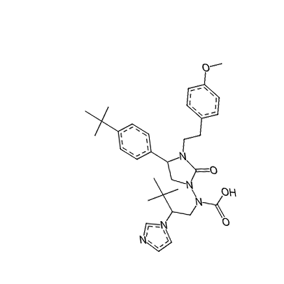 COc1ccc(CCN2C(=O)N(N(CC(n3ccnc3)C(C)(C)C)C(=O)O)CC2c2ccc(C(C)(C)C)cc2)cc1